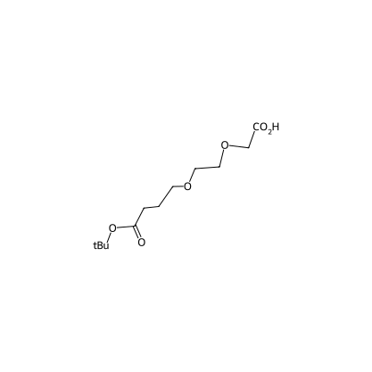 CC(C)(C)OC(=O)CCCOCCOCC(=O)O